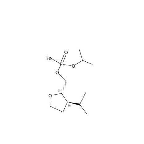 CC(C)OP(=O)(S)OC[C@H]1OCC[C@@H]1C(C)C